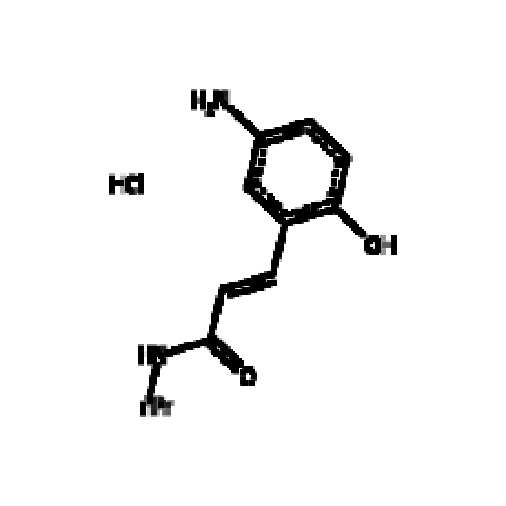 CCCNC(=O)C=Cc1cc(N)ccc1O.Cl